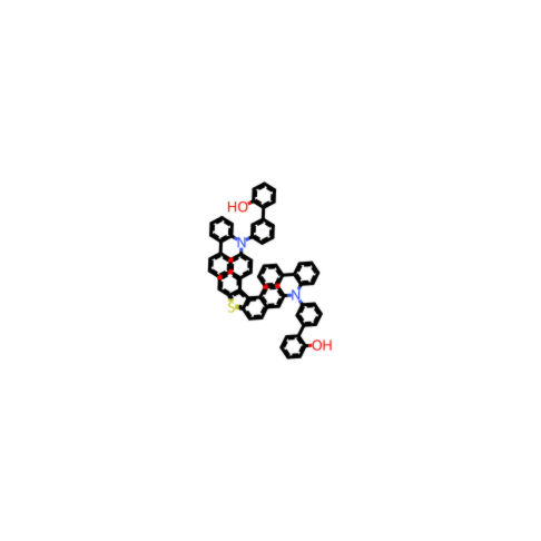 Oc1ccccc1-c1cccc(N(c2ccc3c(ccc4sc5ccc6cc(N(c7cccc(-c8ccccc8O)c7)c7ccccc7-c7ccccc7)ccc6c5c43)c2)c2ccccc2-c2ccccc2)c1